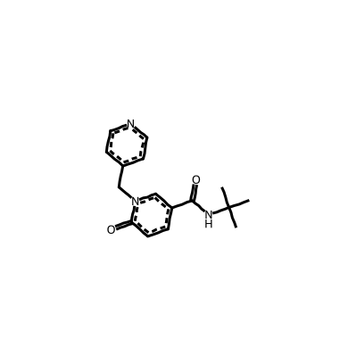 CC(C)(C)NC(=O)c1ccc(=O)n(Cc2ccncc2)c1